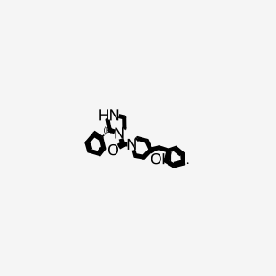 O=C(N1CCC(O)(Cc2cc[c]cc2)CC1)N1CCNC[C@H]1c1ccccc1